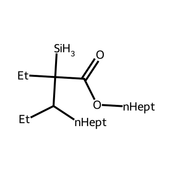 CCCCCCCOC(=O)C([SiH3])(CC)C(CC)CCCCCCC